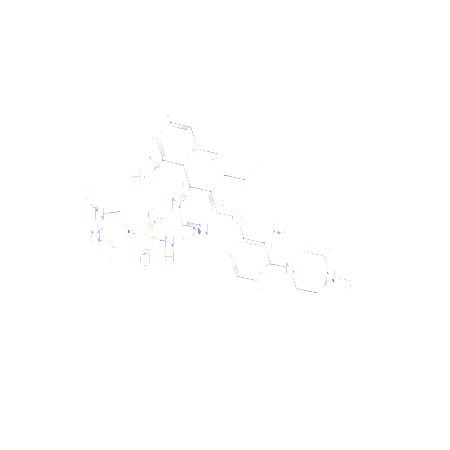 CCCc1c(Oc2cccc(N3CCN(C)CC3)c2Cl)nc(NS(=O)(=O)c2cnn(C)c2)nc1-c1c(C)cccc1O